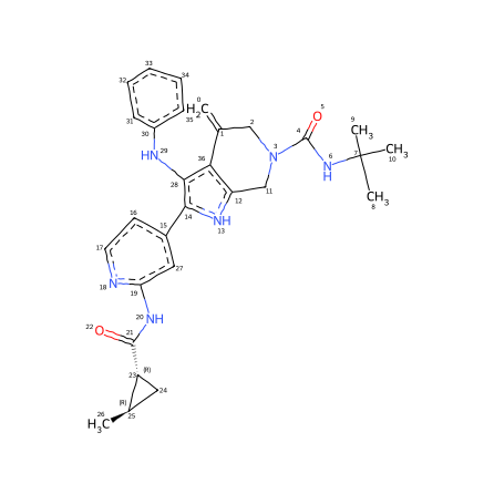 C=C1CN(C(=O)NC(C)(C)C)Cc2[nH]c(-c3ccnc(NC(=O)[C@@H]4C[C@H]4C)c3)c(Nc3ccccc3)c21